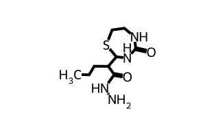 CCCC(C(=O)NN)C1NC(=O)NCCS1